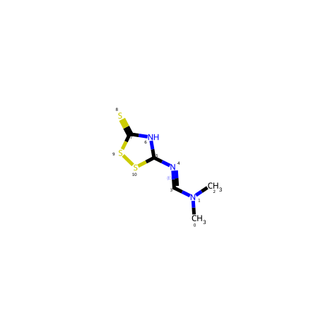 CN(C)/C=N/C1NC(=S)SS1